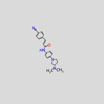 CN(C)C1CCN(c2ccc(NC(=O)/C=C/c3ccc(C#N)cc3)cc2)C1